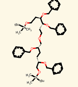 CC(C)(C)[Si](C)(C)OCC[C@@H](OCc1ccccc1)[C@@H](CCOC[C@H](CC[C@@H](CO[Si](C)(C)C(C)(C)C)OCc1ccccc1)OCc1ccccc1)OCc1ccccc1